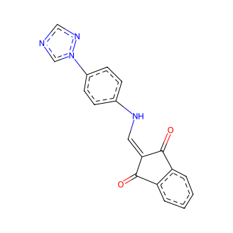 O=C1C(=CNc2ccc(-n3cncn3)cc2)C(=O)c2ccccc21